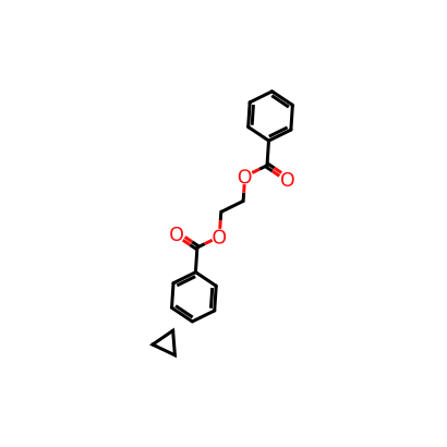 C1CC1.O=C(OCCOC(=O)c1ccccc1)c1ccccc1